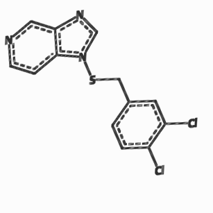 Clc1ccc(CSn2cnc3cnccc32)cc1Cl